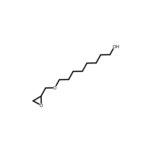 OCCCCCCCCOCC1CO1